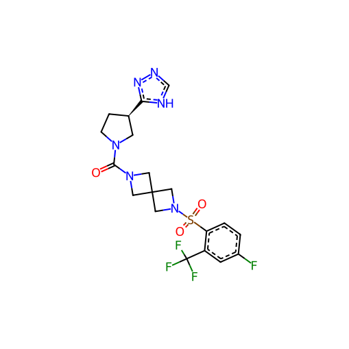 O=C(N1CC[C@@H](c2nnc[nH]2)C1)N1CC2(C1)CN(S(=O)(=O)c1ccc(F)cc1C(F)(F)F)C2